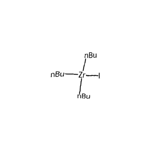 CCC[CH2][Zr]([I])([CH2]CCC)[CH2]CCC